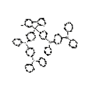 Cc1ccc2c(c1)C(c1ccc(N(c3ccccc3)c3ccc(N(c4ccccc4)c4ccccc4)cc3)cc1)(c1ccc(N(c3ccccc3)c3ccc(N(c4ccccc4)c4ccccc4)cc3)cc1)c1ccccc1-2